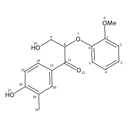 COc1ccccc1OC(CO)C(=O)c1ccc(O)c(C)c1